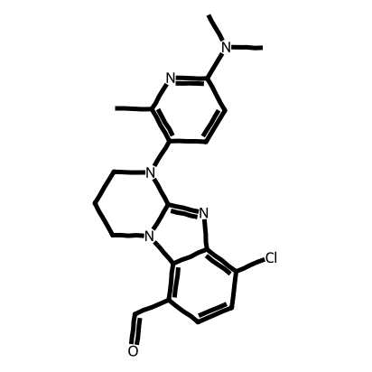 Cc1nc(N(C)C)ccc1N1CCCn2c1nc1c(Cl)ccc(C=O)c12